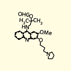 COc1cc2c(NCC(C)(C)OC=O)c3ccccc3nc2cc1OCCCN1CCCC1